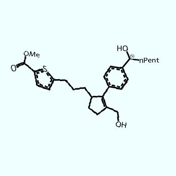 CCCCC[C@H](O)c1ccc(C2=C(CO)CCC2CCCc2ccc(C(=O)OC)s2)cc1